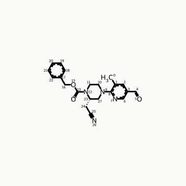 Cc1cc(C=O)cnc1N1CCN(C(=O)OCc2ccccc2)[C@@H](CC#N)C1